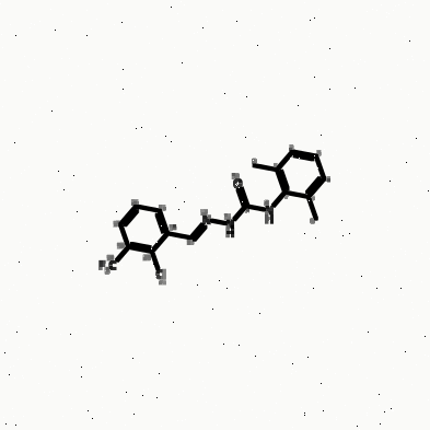 Cc1cccc(C)c1NC(=O)N/N=C/c1cccc(C(F)(F)F)c1Cl